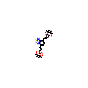 CC1(C)OB(C=Cc2ccc(C=CB3OC(C)(C)C(C)(C)O3)c3nsnc23)OC1(C)C